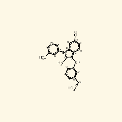 Cc1cncc(-n2c(C)c(Sc3cccc(CC(=O)O)c3)c3ccc(Cl)cc32)c1